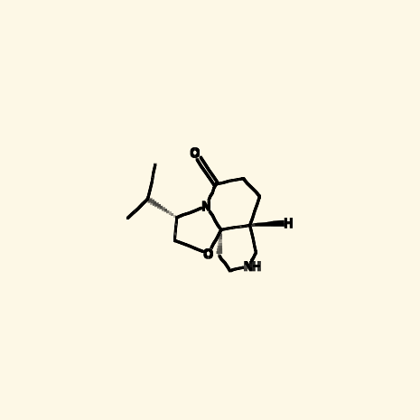 CC(C)[C@H]1CO[C@]23CCNC[C@H]2CCC(=O)N13